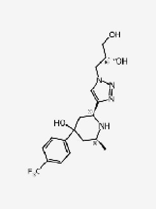 C[C@H]1CC(O)(c2ccc(C(F)(F)F)cc2)C[C@@H](c2cn(C[C@@H](O)CO)nn2)N1